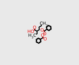 CCCCC(CC)C(=O)O.O=C(OOC(=O)c1ccccc1)c1ccccc1